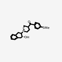 CSc1ccc(C(=O)C2CCN(C3Cc4ccccc4C[C@H]3O)CC2)cc1